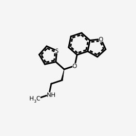 CNCC[C@H](Oc1cccc2occc12)c1cccs1